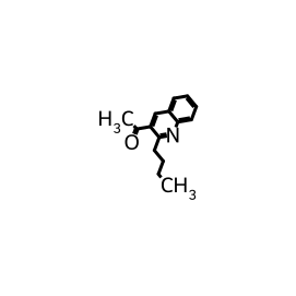 CCCCc1nc2ccccc2cc1C(C)=O